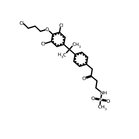 CC(C)(c1ccc(CC(=O)CCNS(C)(=O)=O)cc1)c1cc(Cl)c(OCCCCl)c(Cl)c1